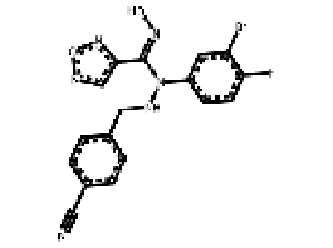 N#Cc1ccc(CNN(/C(=N/O)c2cnon2)c2ccc(F)c(Br)c2)cc1